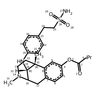 CC(C)C(=O)Oc1ccc2c(c1)[C@@]1(C)CCN(C)C(C2)[C@@H]1Nc1ccc(CCS(N)(=O)=O)cc1